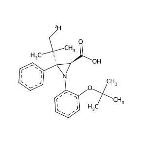 [2H]CC(C)(C)[C@]1(c2ccccc2)[C@@H](C(=O)O)N1c1ccccc1OC(C)(C)C